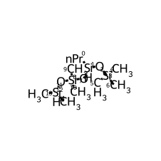 CCC[SiH](O[Si](C)(C)C)O[Si](C)(C)O[SiH](C)C